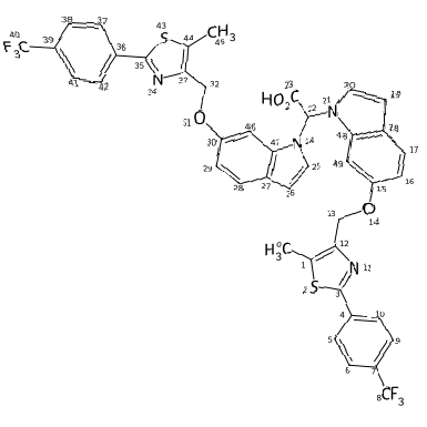 Cc1sc(-c2ccc(C(F)(F)F)cc2)nc1COc1ccc2ccn(C(C(=O)O)n3ccc4ccc(OCc5nc(-c6ccc(C(F)(F)F)cc6)sc5C)cc43)c2c1